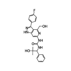 CC(C)(O)C(NC(=O)Nc1cc2[nH]nc(-c3ccc(F)cc3)c2c(CO)n1)c1ccccc1